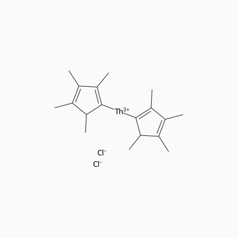 CC1=C(C)C(C)[C]([Th+2][C]2=C(C)C(C)=C(C)C2C)=C1C.[Cl-].[Cl-]